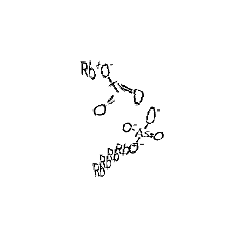 O=[As]([O-])([O-])[O-].[O]=[Ti]([O-])[O-].[Rb+].[Rb+].[Rb+].[Rb+].[Rb+]